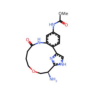 COC(=O)Nc1ccc2c(c1)NC(=O)CCCOC[C@H](N)c1nc-2c[nH]1